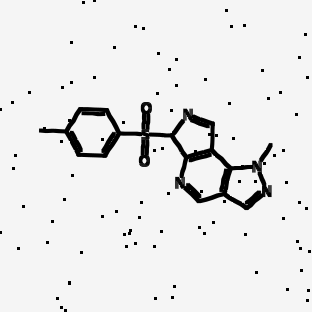 Cc1ccc(S(=O)(=O)C2N=Cc3c2ncc2cnn(C)c32)cc1